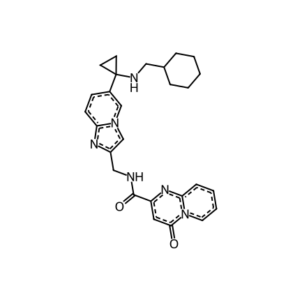 O=C(NCc1cn2cc(C3(NCC4CCCCC4)CC3)ccc2n1)c1cc(=O)n2ccccc2n1